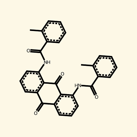 Cc1ccccc1C(=O)Nc1cccc2c1C(=O)c1c(NC(=O)c3ccccc3C)cccc1C2=O